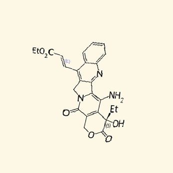 CCOC(=O)/C=C/c1c2c(nc3ccccc13)-c1c(N)c3c(c(=O)n1C2)COC(=O)[C@]3(O)CC